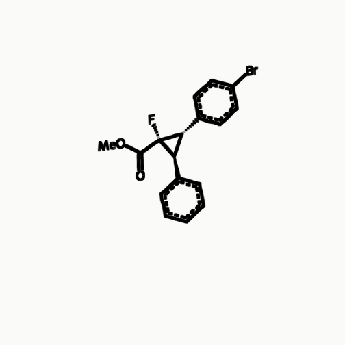 COC(=O)[C@]1(F)[C@H](c2ccccc2)[C@H]1c1ccc(Br)cc1